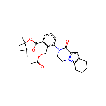 CC(=O)OCc1c(B2OC(C)(C)C(C)(C)O2)cccc1N1CCn2c(cc3c2CCCC3)C1=O